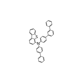 c1ccc(-c2ccc(N(c3ccc(-c4cccc(-c5ccccc5)c4)cc3)c3cccc4c3sc3ccccc34)cc2)cc1